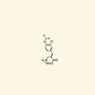 COC(=O)/C(=C/c1ccc(OC(F)F)c(Cl)c1)CN